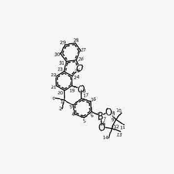 CC1(C)c2ccc(B3OC(C)(C)C(C)(C)O3)cc2Oc2c1ccc1c2oc2ccccc21